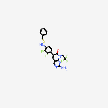 Nc1ncc2cc(-c3ccc(NSCc4ccccc4)c(F)c3F)c(=O)n(CC(F)(F)F)c2n1